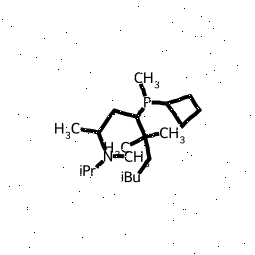 CCC(C)CC(C)(C)C(CC(C)N(C)C(C)C)P(C)C1CCC1